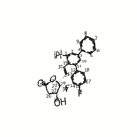 CC(C)c1cc(-c2ccccc2)cc(-c2ccc(F)cc2)c1/C=C/[C@H]1OC(=O)C[C@H](O)[C@H]1F